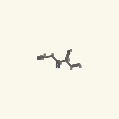 C=CC(=S)NCCCC